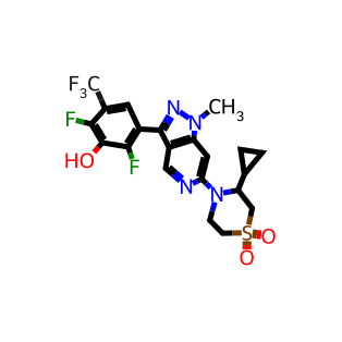 Cn1nc(-c2cc(C(F)(F)F)c(F)c(O)c2F)c2cnc(N3CCS(=O)(=O)CC3C3CC3)cc21